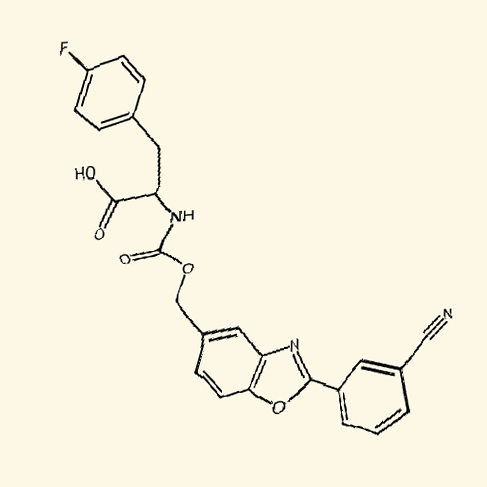 N#Cc1cccc(-c2nc3cc(COC(=O)NC(Cc4ccc(F)cc4)C(=O)O)ccc3o2)c1